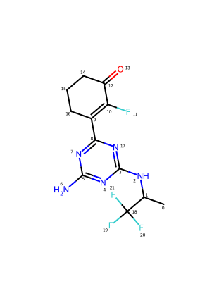 CC(Nc1nc(N)nc(C2=C(F)C(=O)CCC2)n1)C(F)(F)F